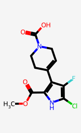 COC(=O)c1[nH]c(Cl)c(F)c1C1=CCN(C(=O)O)CC1